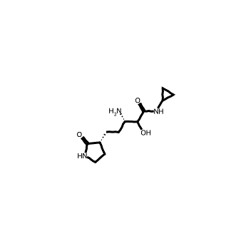 N[C@@H](CC[C@@H]1CCNC1=O)C(O)C(=O)NC1CC1